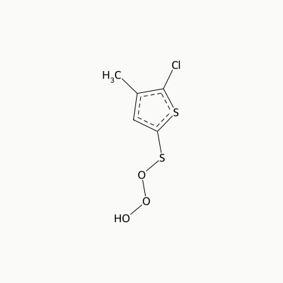 Cc1cc(SOOO)sc1Cl